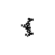 CCc1nn(-c2ccc(C(=N)N)cc2)c(=O)n1-c1ccc(CCC(=O)O)cc1